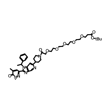 Cc1cc(-c2nc3cnc(C4CCN(C(=O)COCCOCCOCCOCCOCCC(=O)OC(C)(C)C)CC4)cc3n2C(C)c2ccccc2)nn(C)c1=O